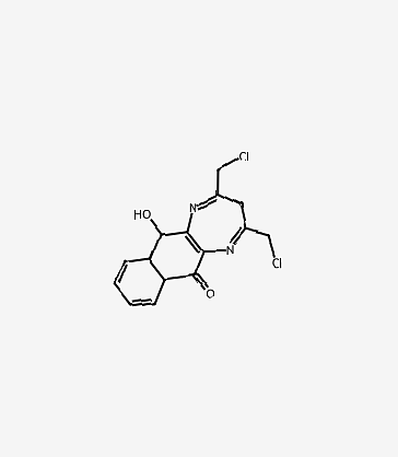 O=C1C2=C(N=C(CCl)CC(CCl)=N2)C(O)C2C=CC=CC12